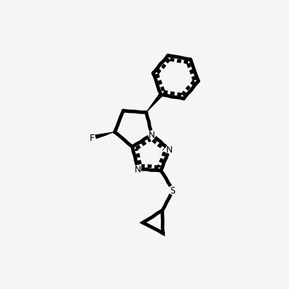 F[C@H]1C[C@@H](c2ccccc2)n2nc(SC3CC3)nc21